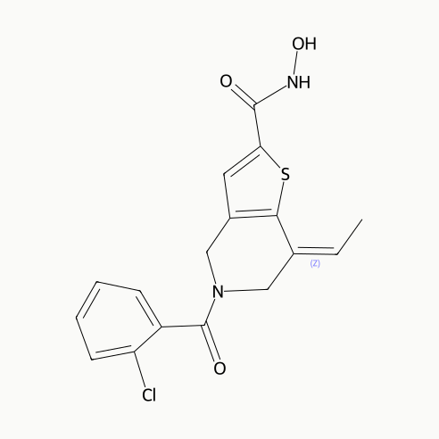 C/C=C1/CN(C(=O)c2ccccc2Cl)Cc2cc(C(=O)NO)sc21